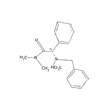 CN(C)C(=O)[C@H](c1ccccc1)N(Cc1ccccc1)C(=O)O